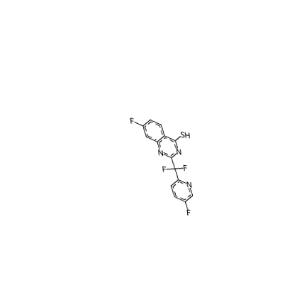 Fc1ccc(C(F)(F)c2nc(S)c3ccc(F)cc3n2)nc1